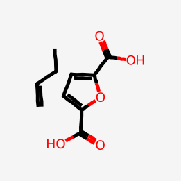 C=CCC.O=C(O)c1ccc(C(=O)O)o1